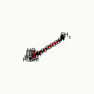 CC(=O)Cn1cc(COCCOCCOCCOCCOCCOCCOCCOCCOCCOCCOCCOCCN(C[C@H](O)[C@@H](O)[C@H](O)[C@H](O)CO)C[C@H](O)[C@@H](O)[C@H](O)[C@H](O)CO)nn1